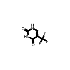 O=c1[nH][c]c(C(F)(F)F)c(=O)[nH]1